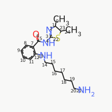 CC1N=C(NC(=O)c2ccccc2NCCCCCCCN)SC1C